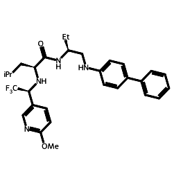 CC[C@@H](CNc1ccc(-c2ccccc2)cc1)NC(=O)[C@H](CC(C)C)N[C@@H](c1ccc(OC)nc1)C(F)(F)F